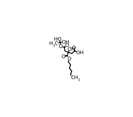 CCCCCCOC(=O)C(O)(CC(=O)O)CC(=O)OC(C)(O)O